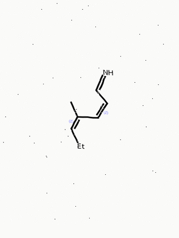 CC/C=C(C)\C=C/C=N